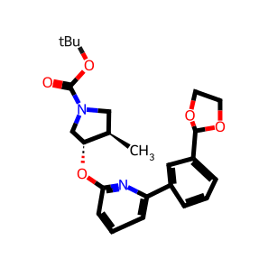 C[C@@H]1CN(C(=O)OC(C)(C)C)C[C@H]1Oc1cccc(-c2cccc(C3OCCO3)c2)n1